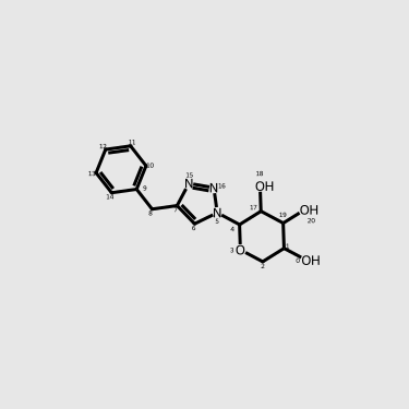 OC1COC(n2cc(Cc3ccccc3)nn2)C(O)C1O